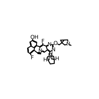 C#Cc1c(F)ccc2cc(O)cc(-c3ncc4c(N5C[C@H]6CC[C@@H](C5)N6)nc(OCC56CC5CN(C)C6)nc4c3F)c12